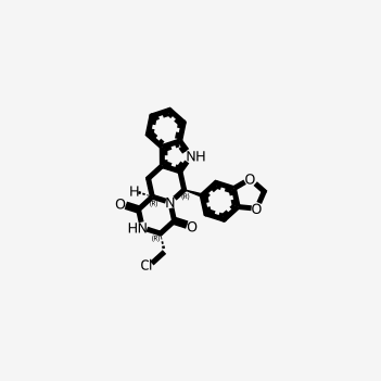 O=C1N[C@@H](CCl)C(=O)N2[C@H](c3ccc4c(c3)OCO4)c3[nH]c4ccccc4c3C[C@H]12